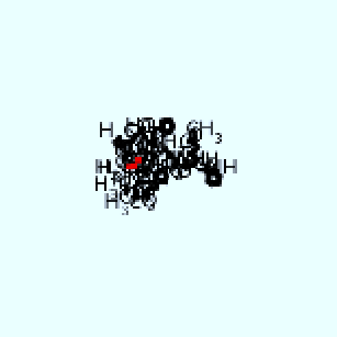 CC[C@H](C)[C@@H]([C@@H](CC(=O)N1CCC[C@H]1[C@H](OC)[C@@H](C)C(=O)N[C@H](C)[C@@H](O)c1ccccc1)OC)N(C)C(=O)[C@@H](NC(=O)[C@H](C(C)C)N(C)C(=O)OCc1ccc(NC(=O)[C@H](CCCNC(N)=O)NC(=O)[C@H](Cc2c[nH]c3ccccc23)NC(=O)CC(=O)OC)cc1)C(C)C